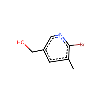 Cc1cc(CO)cnc1Br